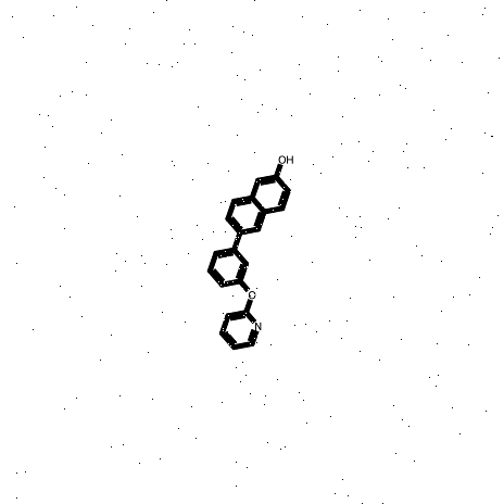 Oc1ccc2cc(-c3cccc(Oc4ccccn4)c3)ccc2c1